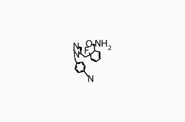 N#Cc1ccc(Cn2cncc2CC2(F)C=CC=CC2C(N)=O)cc1